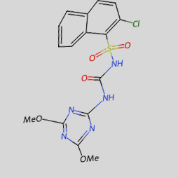 COc1nc(NC(=O)NS(=O)(=O)c2c(Cl)ccc3ccccc23)nc(OC)n1